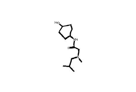 CC(C)CN(C)CC(=O)NC1CCC(O)CC1